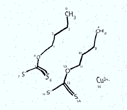 CCCCOC(=S)[S-].CCCCOC(=S)[S-].[Cu+2]